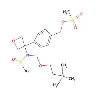 CC(C)(C)[S+]([O-])N(COCC[Si](C)(C)C)C1(c2ccc(COS(C)(=O)=O)cc2)COC1